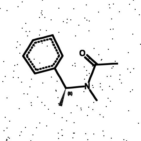 CC(=O)N(C)[C@H](C)c1ccccc1